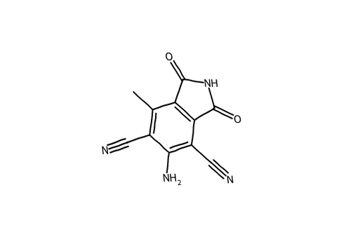 Cc1c(C#N)c(N)c(C#N)c2c1C(=O)NC2=O